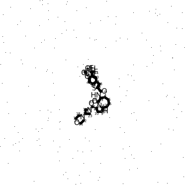 O=C(N[C@H]1CCCC[C@H]2CC[C@@H](C(=O)N3CC(N4CCOCC4)C3)N2C1=O)c1cc2cc(C(F)(F)P(=O)(O)O)ccc2s1